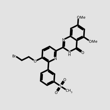 COc1cc(OC)c2c(=O)[nH]c(-c3ccc(OCCBr)c(-c4cccc(S(C)(=O)=O)c4)n3)nc2c1